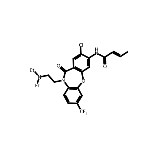 C/C=C/C(=O)Nc1cc2c(cc1Cl)C(=O)N(CCN(CC)CC)c1ccc(C(F)(F)F)cc1O2